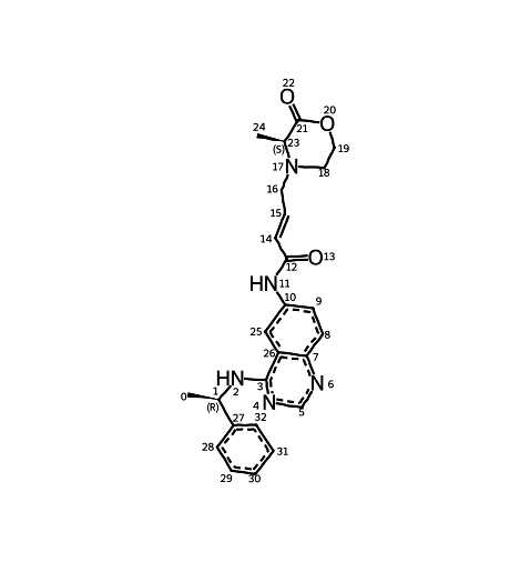 C[C@@H](Nc1ncnc2ccc(NC(=O)C=CCN3CCOC(=O)[C@@H]3C)cc12)c1ccccc1